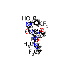 CC(c1nc(C2CN(C(=O)c3cnn(Cc4ccc(C(F)(F)F)cc4C(=O)O)c3)CC23CN(C(=O)C2(C(F)(F)F)CC2)C3)no1)n1ccc(C2(C(F)(F)F)CC2)n1